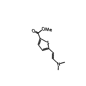 COC(=O)c1ccc(/C=C/N(C)C)s1